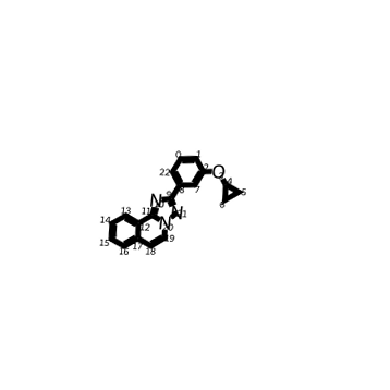 c1cc(OC2CC2)cc(-c2nc3c4ccccc4ccn3n2)c1